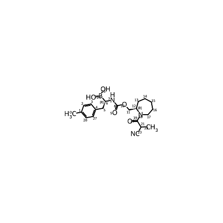 Cc1ccc(C[C@H](NC(=O)OC[C@H]2CCCCCN2C(=O)C(C)C#N)B(O)O)cc1